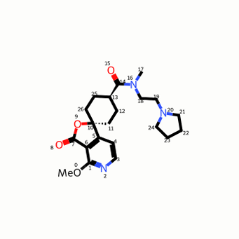 COc1nccc2c1C(=O)O[C@]21CC[C@H](C(=O)N(C)CCN2CCCC2)CC1